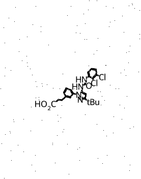 CC(C)(C)c1cc(NC(=O)Nc2cccc(Cl)c2Cl)n(-c2cccc(CCC(=O)O)c2)n1